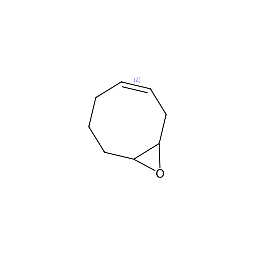 C1=C\CC2OC2CCC/1